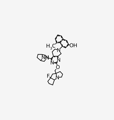 Cc1cccc2cc(O)cc(N3CCc4c(nc(OCC56CCCN5C5CCCC5(F)C6)nc4N4CC5CCC(C4)N5)C3)c12